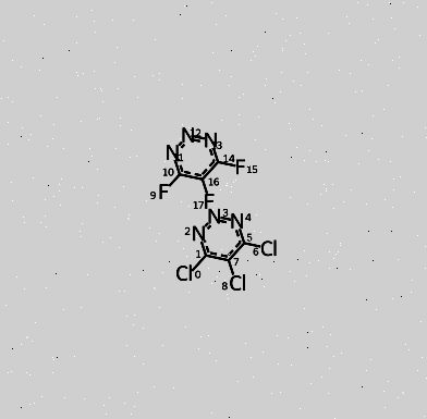 Clc1nnnc(Cl)c1Cl.Fc1nnnc(F)c1F